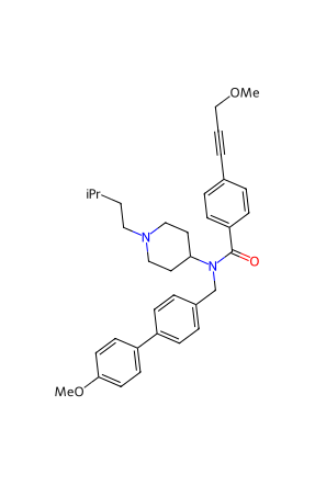 COCC#Cc1ccc(C(=O)N(Cc2ccc(-c3ccc(OC)cc3)cc2)C2CCN(CCC(C)C)CC2)cc1